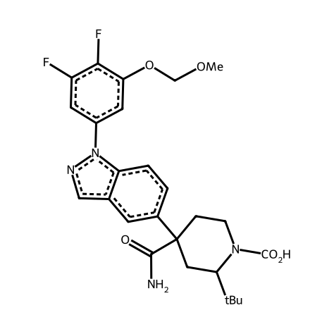 COCOc1cc(-n2ncc3cc(C4(C(N)=O)CCN(C(=O)O)C(C(C)(C)C)C4)ccc32)cc(F)c1F